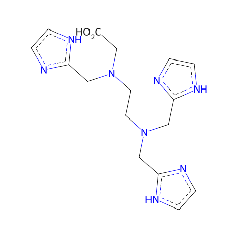 O=C(O)CN(CCN(Cc1ncc[nH]1)Cc1ncc[nH]1)Cc1ncc[nH]1